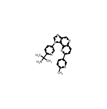 Cc1ccc(-c2ccc3ncc4ncn(-c5ccc(C(C)(C)N)nc5)c4c3n2)cn1